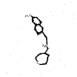 Cc1ccc2cc(CNCC3CCCCCCC3)ccc2c1